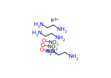 NCCN.NCCN.NCCN.O=[N+]([O-])[O-].O=[N+]([O-])[O-].O=[N+]([O-])[O-].[Ir+3]